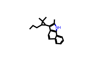 CCCC1C(c2c(C)[nH]c3c2ccc2ccccc23)C1(C)C